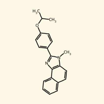 CC(C)Oc1ccc(-c2nc3c4ccccc4ccc3n2C)cc1